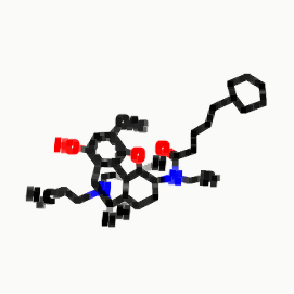 C=CCN1CC[C@]23c4c5c(O)cc(OC(C)=O)c4O[C@H]2[C@@H](N(CC(C)C)C(=O)CCCCC2CCCCC2)CC[C@H]3[C@H]1C5